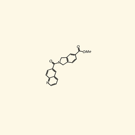 COC(=O)c1ccc2c(c1)CN(C(=O)c1ccc3ncccc3c1)C2